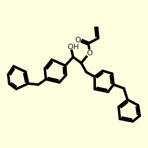 C=CC(=O)OC(Cc1ccc(Cc2ccccc2)cc1)C(O)c1ccc(Cc2ccccc2)cc1